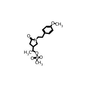 COc1ccc(CCN2CC([C@H](C)OS(C)(=O)=O)CC2=O)cc1